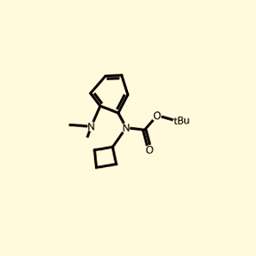 CN(C)c1ccccc1N(C(=O)OC(C)(C)C)C1CCC1